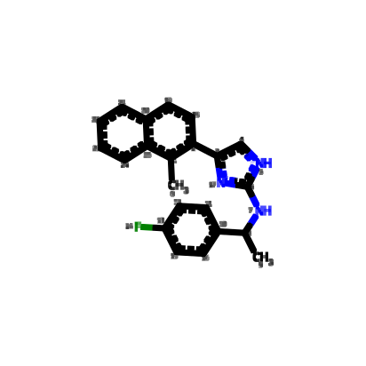 Cc1c(-c2c[nH]c(NC(C)c3ccc(F)cc3)n2)ccc2ccccc12